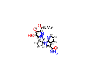 CNC(=O)c1nn(CC2(n3cc(C(N)=O)c4cccnc43)CCCC2)cc(O)c1=O